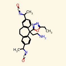 CCc1nnc(C2(CCN)c3ccc(C(C)N=C=O)cc3CCc3cc(C(C)N=C=O)ccc32)o1